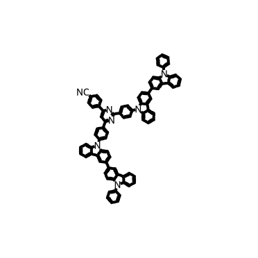 N#Cc1ccc(-c2cc(-c3ccc(-n4c5ccccc5c5cc(-c6ccc7c(c6)c6ccccc6n7-c6ccccc6)ccc54)cc3)nc(-c3ccc(-n4c5ccccc5c5cc(-c6ccc7c(c6)c6ccccc6n7-c6ccccc6)ccc54)cc3)n2)cc1